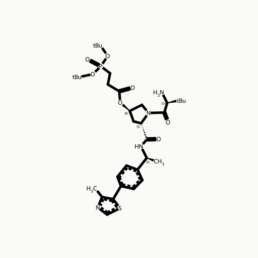 Cc1ncsc1-c1ccc([C@H](C)NC(=O)[C@@H]2C[C@@H](OC(=O)CCP(=O)(OC(C)(C)C)OC(C)(C)C)CN2C(=O)[C@@H](N)C(C)(C)C)cc1